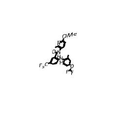 COc1ccc(NC(=O)c2cc(C(F)(F)F)ccc2Nc2ccc(OC(F)F)cc2C)c(C)n1